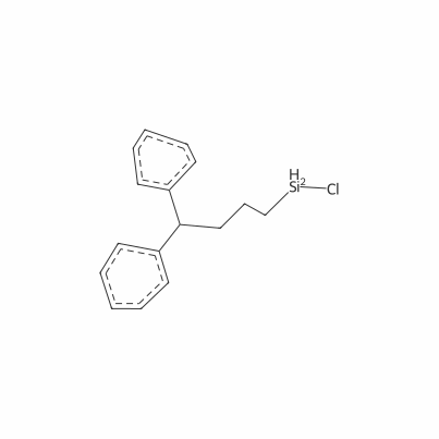 Cl[SiH2]CCCC(c1ccccc1)c1ccccc1